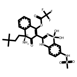 CC(C)(C)CC[C@@]1(N)C(=O)C(C2=NS(O)(O)c3cc(NS(C)(=O)=O)ccc3N2)=C(OC(=O)C(F)(F)F)c2ccccc21